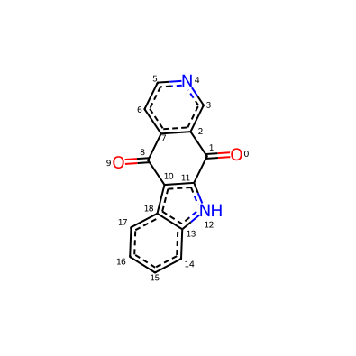 O=C1c2cnccc2C(=O)c2c1[nH]c1ccccc21